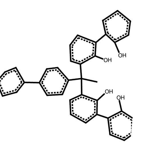 CC(c1ccc(-c2ccccc2)cc1)(c1cccc(-c2ccccc2O)c1O)c1cccc(-c2ccccc2O)c1O